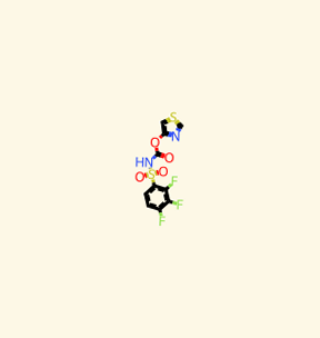 O=C(NS(=O)(=O)c1ccc(F)c(F)c1F)Oc1cscn1